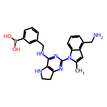 Cc1cc2c(CN)cccc2n1-c1nc2c(c(NCc3cccc(B(O)O)c3)n1)NCC2